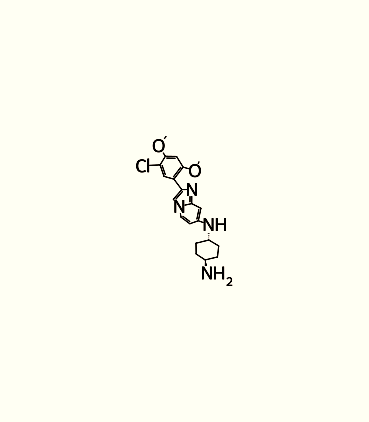 COc1cc(OC)c(-c2cn3ccc(N[C@H]4CC[C@H](N)CC4)cc3n2)cc1Cl